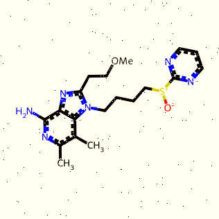 COCCc1nc2c(N)nc(C)c(C)c2n1CCCC[S+]([O-])c1ncccn1